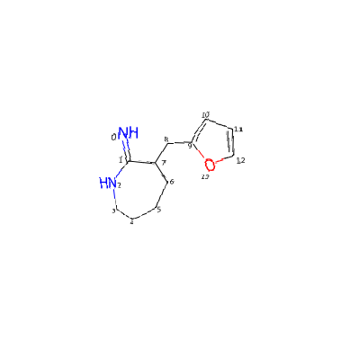 N=C1NCCCCC1Cc1ccco1